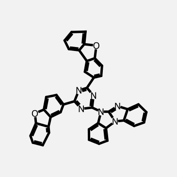 c1ccc2c(c1)nc1n(-c3nc(-c4ccc5oc6ccccc6c5c4)nc(-c4ccc5oc6ccccc6c5c4)n3)c3ccccc3n21